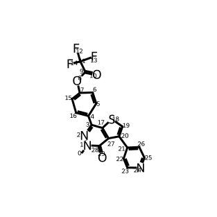 Cn1nc(-c2ccc(OC(=O)C(F)(F)F)cc2)c2scc(-c3ccncc3)c2c1=O